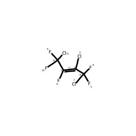 F/C(=C(/Cl)C(F)(F)Cl)C(F)(F)Cl